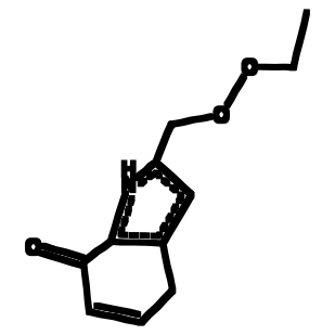 CCOOCc1cc2c([nH]1)C(=O)C=CC2